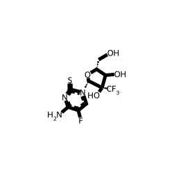 Nc1nc(=S)n([C@@H]2O[C@H](CO)C(O)[C@]2(O)C(F)(F)F)cc1F